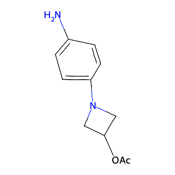 CC(=O)OC1CN(c2ccc(N)cc2)C1